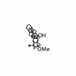 COC(=O)[C@@H](C)[C@H](c1ccc2c(c1)OC(C1CC3CCCC(C1)N3C(=O)OC(C)(C)C)CC2O)C1CC1